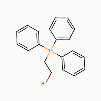 BrCC[P](c1ccccc1)(c1ccccc1)c1ccccc1